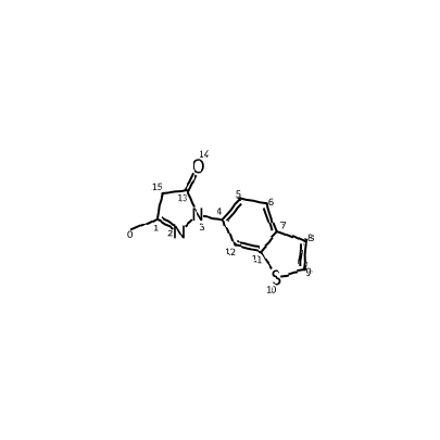 CC1=NN(c2ccc3ccsc3c2)C(=O)C1